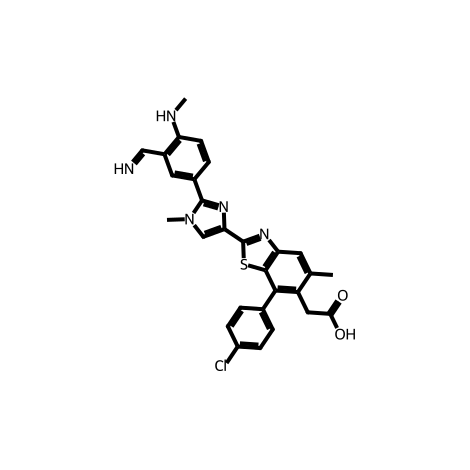 CNc1ccc(-c2nc(-c3nc4cc(C)c(CC(=O)O)c(-c5ccc(Cl)cc5)c4s3)cn2C)cc1C=N